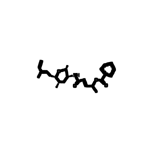 C=C/C(C)=C/C[C@@H]1O[C@H](C)[C@H](NC(=O)C=CC(C)OC(=O)c2ccccc2)C[C@@H]1C